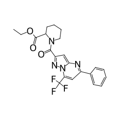 CCOC(=O)C1CCCCN1C(=O)c1cc2nc(-c3ccccc3)cc(C(F)(F)F)n2n1